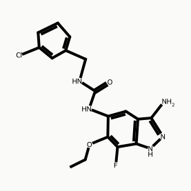 CCOc1c(NC(=O)NCc2cccc(Cl)c2)cc2c(N)n[nH]c2c1F